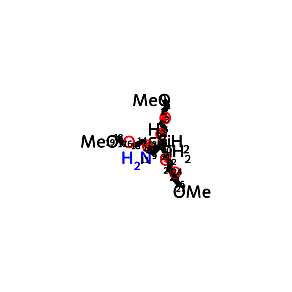 COCCOCCO[SiH2]C(CCN)([SiH2]OCCOCCOC)[SiH2]OCCOCCOC